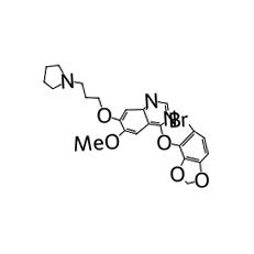 COc1cc2c(Oc3c(Br)ccc4c3OCO4)ncnc2cc1OCCCN1CCCC1